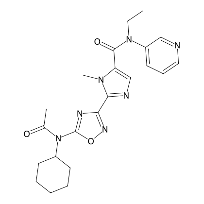 CCN(C(=O)c1cnc(-c2noc(N(C(C)=O)C3CCCCC3)n2)n1C)c1cccnc1